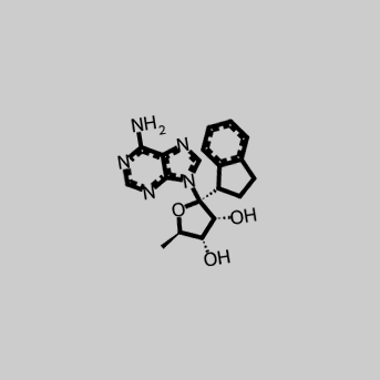 C[C@H]1O[C@@](C2CCc3ccccc32)(n2cnc3c(N)ncnc32)[C@H](O)[C@@H]1O